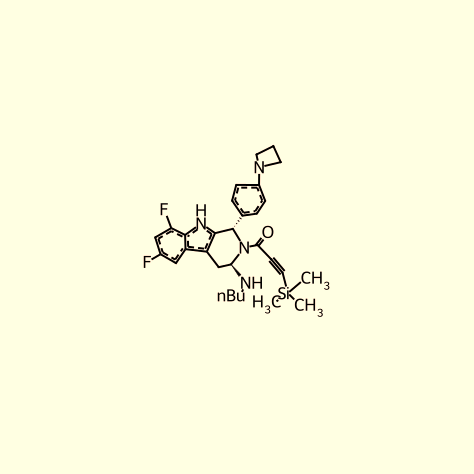 CCCCN[C@H]1Cc2c([nH]c3c(F)cc(F)cc23)[C@H](c2ccc(N3CCC3)cc2)N1C(=O)C#C[Si](C)(C)C